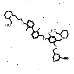 Cc1c(COc2cc(OCc3cncc(C#N)c3)c(CN3CCCCC3CO)cc2Cl)cccc1-c1cccc(OCCCN2CCCCC2CO)c1C